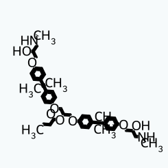 CCCC(=O)OC(COc1ccc(C(C)(C)c2ccc(OCC(O)CNC)cc2)cc1)COc1ccc(C(C)(C)c2ccc(OCC(O)CNC)cc2)cc1